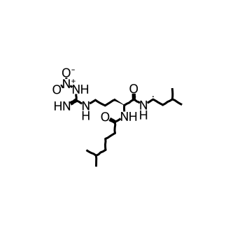 CC(C)C[CH]NC(=O)[C@H](CCCNC(=N)N[N+](=O)[O-])NC(=O)CCCC(C)C